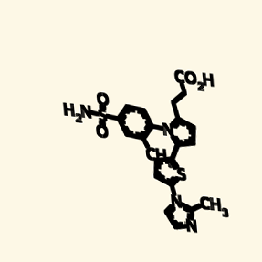 Cc1cc(S(N)(=O)=O)ccc1-n1c(CCC(=O)O)ccc1-c1ccc(-n2ccnc2C)s1